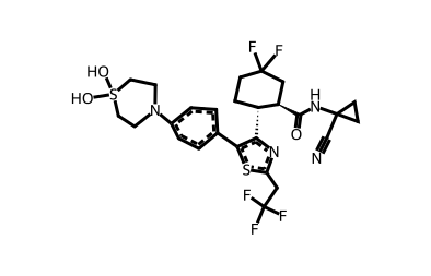 N#CC1(NC(=O)[C@@H]2CC(F)(F)CC[C@H]2c2nc(CC(F)(F)F)sc2-c2ccc(N3CCS(O)(O)CC3)cc2)CC1